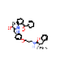 CCCCCCC(Cc1ccccc1)C(=O)NCCCOc1ccc(CC(Nc2ccccc2C(=O)c2ccccc2)C(=O)OC)cc1